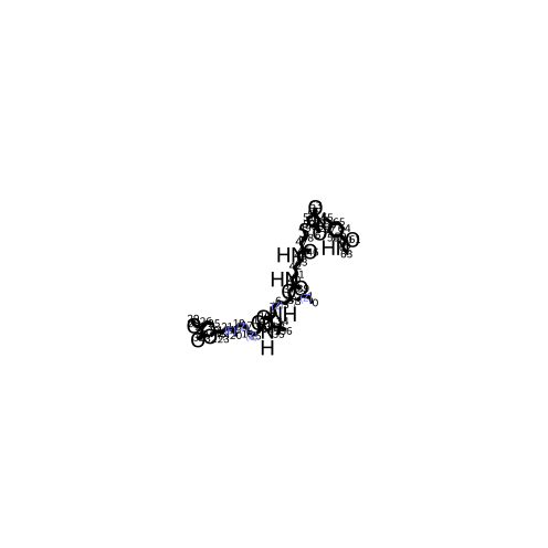 C/C=C\C[C@@H](C/C=C\NC(=O)C(NC(=O)\C=C/C=C\C(C)=C\[C@H](C)[C@@H]1CC=C(OC)C(=O)O1)C(C)(C)C)OC(=O)NCCCNC(=O)CCSC1CC(=O)N(CC2CCC(C(=O)NC)CC2)C1=O